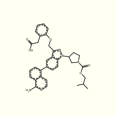 CC(C)COC(=O)N1CCC(n2nc(COc3ccccc3CC(=O)O)c3cc(-c4cccc5c(N)nccc45)ccc32)C1